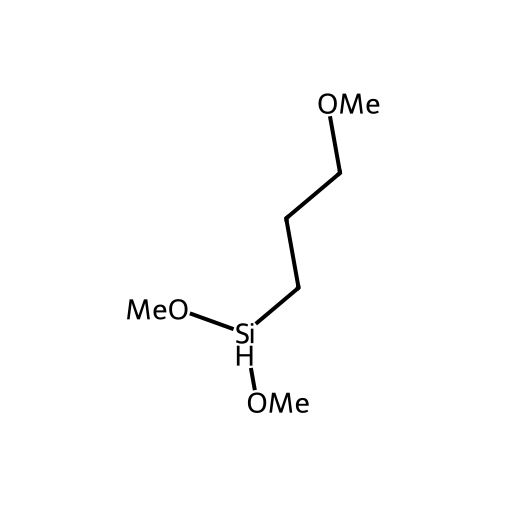 COCCC[SiH](OC)OC